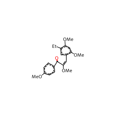 CCc1cc(C=C(OC)C(=O)c2ccc(OC)cc2)c(OC)cc1OC